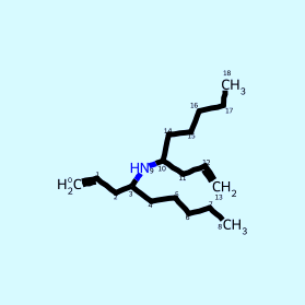 C=CCC(CCCCC)NC(CC=C)CCCCC